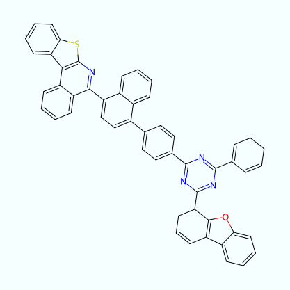 C1=CC(c2nc(-c3ccc(-c4ccc(-c5nc6sc7ccccc7c6c6ccccc56)c5ccccc45)cc3)nc(C3CC=Cc4c3oc3ccccc43)n2)=CCC1